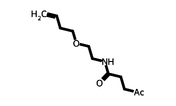 C=CCCOCCNC(=O)CCC(C)=O